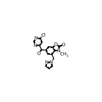 Cn1c(=O)oc2cc(C(=O)c3cc(Cl)ncn3)cc(Cn3cccn3)c21